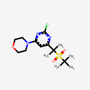 CC(C)(C)S(=O)(=O)C(C)(C)c1cc(N2CCOCC2)nc(Cl)n1